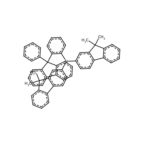 CC1(C)c2ccccc2-c2ccc(N(c3ccc4c(c3)C(C)(C)c3ccccc3-4)c3ccccc3C3(c4ccccc4)c4ccccc4-c4ccccc43)cc21